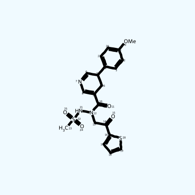 COc1ccc(C2C=NC=C(C(=O)N(CC(=O)c3cccs3)NS(C)(=O)=O)C2)cc1